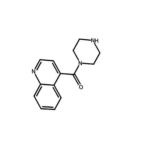 O=C(c1ccnc2ccccc12)N1CCNCC1